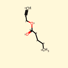 C#CCOC(=O)CCCC